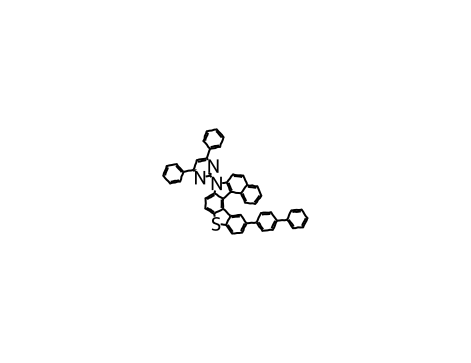 c1ccc(-c2ccc(-c3ccc4sc5ccc6c(c5c4c3)c3c4ccccc4ccc3n6-c3nc(-c4ccccc4)cc(-c4ccccc4)n3)cc2)cc1